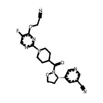 N#CCOc1nc(N2CCC(C(=O)N3OCC[C@H]3c3cncc(C#N)c3)CC2)ncc1F